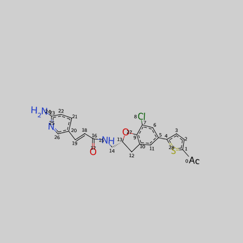 CC(=O)c1ccc(-c2cc(Cl)c3c(c2)C[C@H](CNC(=O)C=Cc2ccc(N)nc2)O3)s1